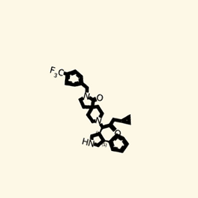 O=C(CC1CC1)C([C@@H]1CNC[C@@H]1c1ccccc1)N1CCC2(CCN(Cc3ccc(C(F)(F)F)cc3)C2=O)CC1